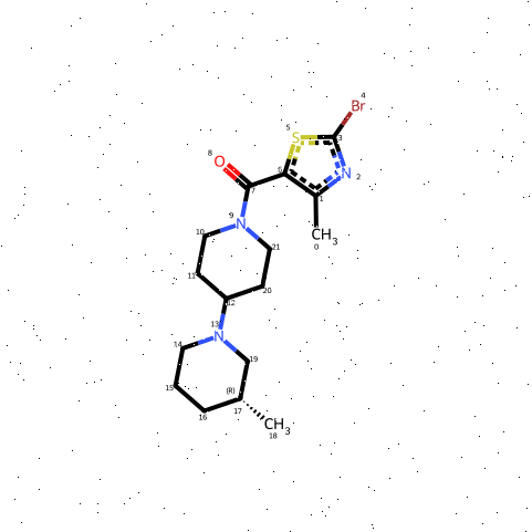 Cc1nc(Br)sc1C(=O)N1CCC(N2CCC[C@@H](C)C2)CC1